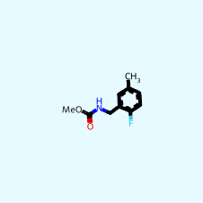 COC(=O)NCc1cc(C)ccc1F